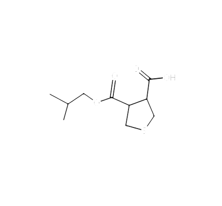 CC(C)COC(=O)C1CSCC1C(=O)O